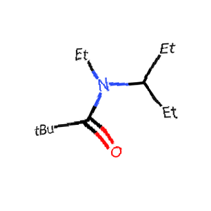 CCC(CC)N(CC)C(=O)C(C)(C)C